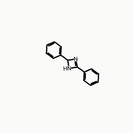 c1ccc(C2=NC(c3ccccc3)N2)cc1